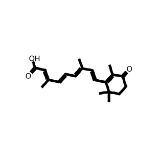 CC(C=CC1=C(C)C(=O)CCC1(C)C)=CC=CC(C)=CC(=O)O